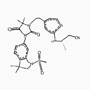 C[C@@H](CC#N)Nc1cc(CN2C(=O)N(c3ccc4c(c3)N(S(C)(=O)=O)CC4(C)C)C(=O)C2(C)C)ccn1